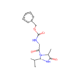 CC(C)C1NC(=O)C(C)N1C(=O)CNC(=O)OCc1ccccc1